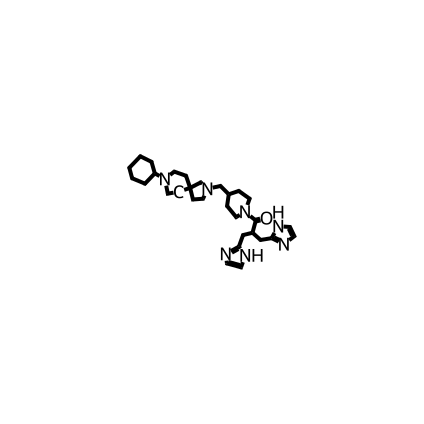 O=C(C(Cc1ncc[nH]1)Cc1ncc[nH]1)N1CCC(CN2CCC3(CCN(C4CCCCC4)CC3)C2)CC1